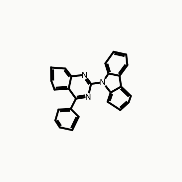 c1ccc(-c2nc(-n3c4ccccc4c4ccccc43)nc3ccccc23)cc1